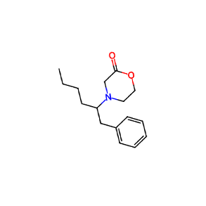 CCCCC(Cc1ccccc1)N1CCOC(=O)C1